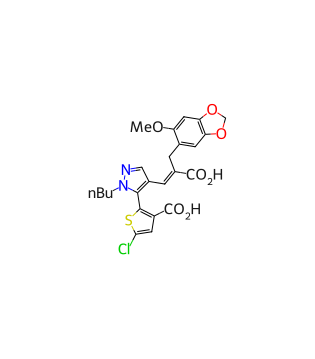 CCCCn1ncc(/C=C(\Cc2cc3c(cc2OC)OCO3)C(=O)O)c1-c1sc(Cl)cc1C(=O)O